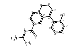 NC(N)=NC(=O)c1ccc2c(c1)C(c1cccnc1Cl)=CCC2